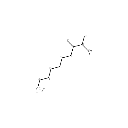 CC(C)C(C)C(C)CCCCCCC(=O)O